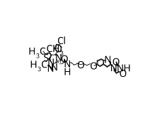 Cc1sc2c(c1C)C(c1ccc(Cl)cc1)=N[C@H](CC(=O)NCCCOCCCOc1ccc3ncc(-n4ccc(=O)[nH]c4=O)cc3c1)c1nnc(C)n1-2